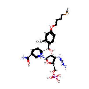 CC(=O)SCCCCOc1ccc(CO[C@@H]2[C@H](N=[N+]=[N-])[C@@H](COP(=O)([O-])O)O[C@H]2[n+]2cccc(C(N)=O)c2)c([N+](=O)[O-])c1